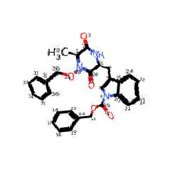 C[C@H]1C(=O)N[C@@H](Cc2cn(C(=O)OCc3ccccc3)c3ccccc23)C(=O)N1OCc1ccccc1